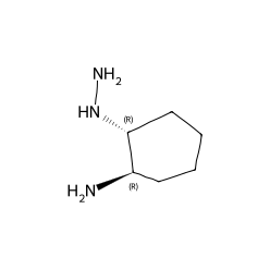 NN[C@@H]1CCCC[C@H]1N